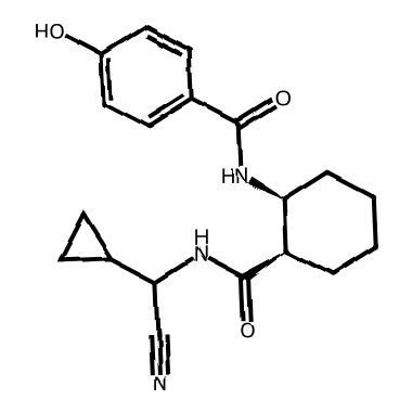 N#CC(NC(=O)[C@@H]1CCCC[C@@H]1NC(=O)c1ccc(O)cc1)C1CC1